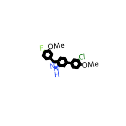 COc1cc(-c2n[nH]c3cc(-c4ccc(OC)c(Cl)c4)ccc23)ccc1F